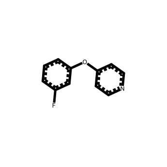 Fc1cccc(Oc2ccncc2)c1